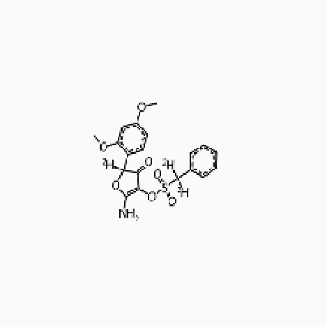 [2H]C([2H])(c1ccccc1)S(=O)(=O)OC1=C(N)O[C@]([2H])(c2ccc(OC)cc2OC)C1=O